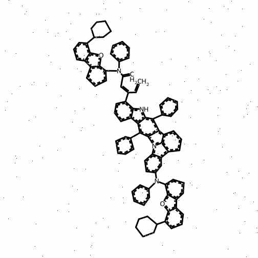 C=C/C(=C\C(=C)N(c1ccccc1)c1cccc2c1oc1c(C3CCCCC3)cccc12)c1cccc2c1[nH]c1c(-c3ccccc3)c3c4cccc5c6cc(N(c7ccccc7)c7cccc8c7oc7c(C9CCCCC9)cccc78)ccc6n(c3c(-c3ccccc3)c12)c54